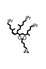 CC(C)CCCC(C)/C=C\C(CCC(C)CCCC(C)C)C(CCC(C)CCCC(C)C)OC(=O)CCCCN(C)C